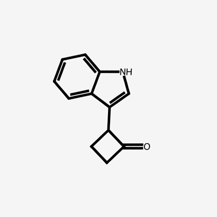 O=C1CCC1c1c[nH]c2ccccc12